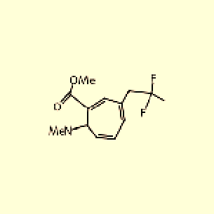 CNC1C=CC=C(CC(C)(F)F)C=C1C(=O)OC